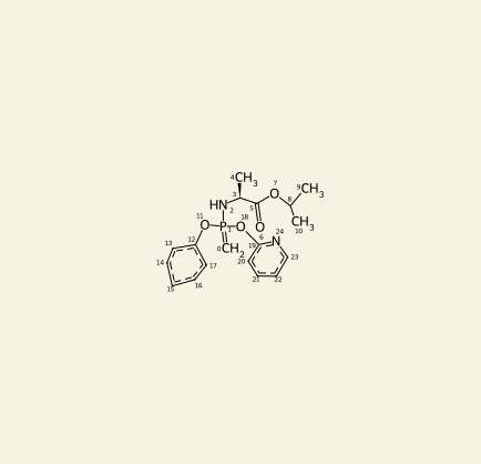 C=P(N[C@@H](C)C(=O)OC(C)C)(Oc1ccccc1)Oc1ccccn1